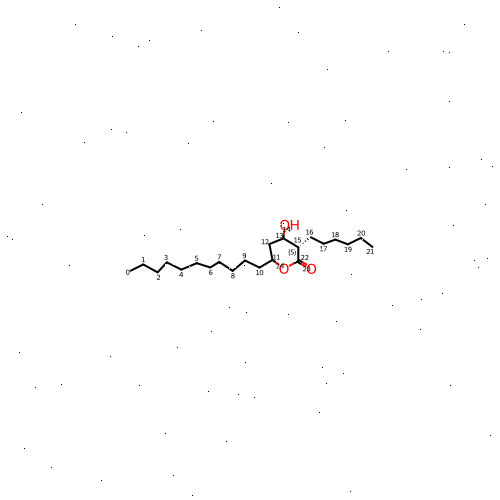 CCCCCCCCCCCC1CC(O)[C@H](CCCCCC)C(=O)O1